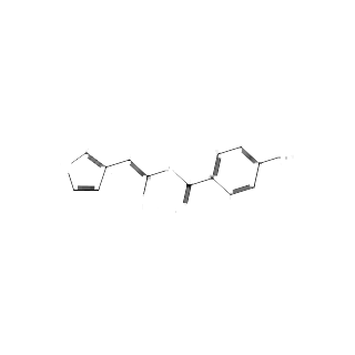 CCCCc1ccc(C(=O)N/C(=C/c2ccsc2)C(=O)O)cc1